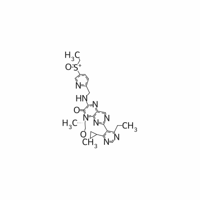 CCc1ncnc(C2CC2)c1-c1ncc2nc(NCc3ccc([S+]([O-])CC)cn3)c(=O)n([C@@H](C)COC)c2n1